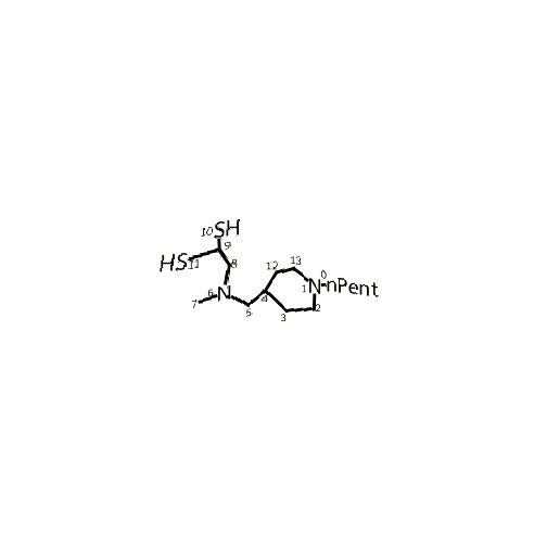 CCCCCN1CCC(CN(C)CC(S)S)CC1